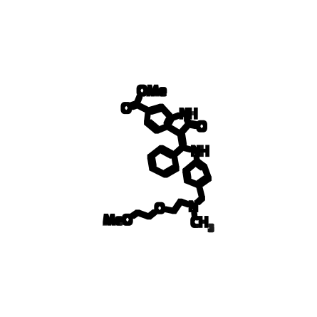 COCCOCCN(C)Cc1ccc(N/C(=C2\C(=O)Nc3cc(C(=O)OC)ccc32)c2ccccc2)cc1